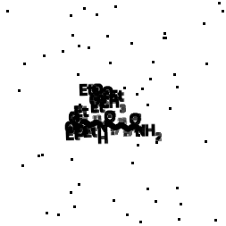 CCO[Si](C)(OCC)OCC.CCO[Si](CCCNC(=O)CCCC(N)=O)(OCC)OCC